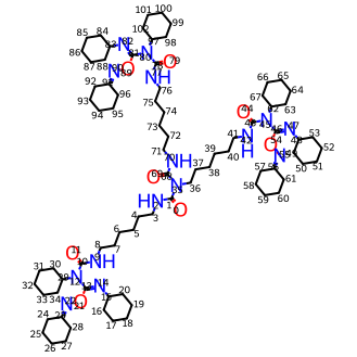 O=C(NCCCCCCNC(=O)N(/C(=N/C1CCCCC1)ON=C1CCCCC1)C1CCCCC1)N(CCCCCCNC(=O)N(/C(=N/C1CCCCC1)ON=C1CCCCC1)C1CCCCC1)C(=O)NCCCCCCNC(=O)N(/C(=N/C1CCCCC1)ON=C1CCCCC1)C1CCCCC1